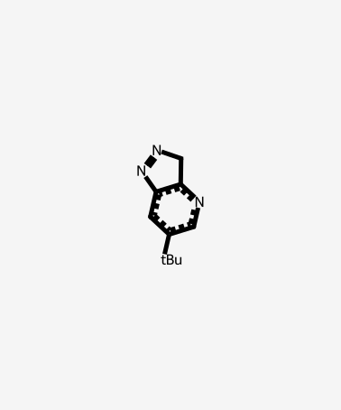 CC(C)(C)c1cnc2c(c1)N=NC2